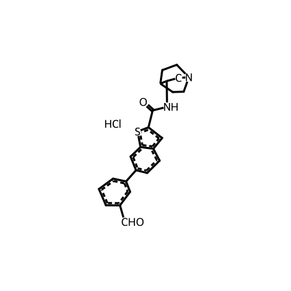 Cl.O=Cc1cccc(-c2ccc3cc(C(=O)NC4CN5CCC4CC5)sc3c2)c1